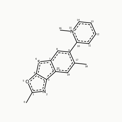 Cc1nc2c(o1)sc1cc(-c3cccc[n+]3C)c(C)cc12